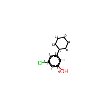 Oc1cc(Cl)cc(C2CCCCC2)c1